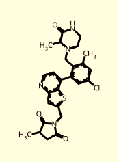 Cc1cc(Cl)cc(-c2ccnc3cc(CN4C(=O)CC(C)C4=O)sc23)c1CN1CCNC(=O)C1C